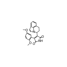 COc1ccc(OC)c(C2=C(C3CCc4cccc5ccn3c45)C(=O)NC2=O)c1